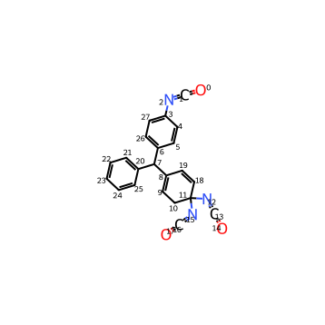 O=C=Nc1ccc(C(C2=CCC(N=C=O)(N=C=O)C=C2)c2ccccc2)cc1